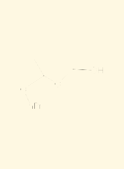 CC[CH]OC(C)OCO